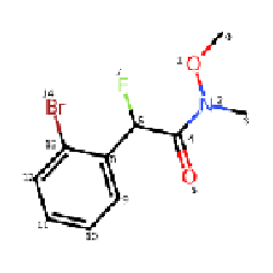 CON(C)C(=O)C(F)c1ccccc1Br